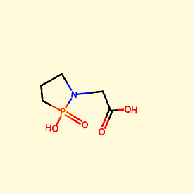 O=C(O)CN1CCCP1(=O)O